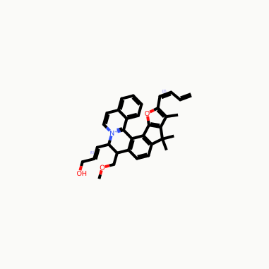 C=C/C=C\c1oc2c(c1C)C(C)(C)c1ccc3c(c1-2)-c1c2ccccc2cc[n+]1C(/C=C/CO)C3COC